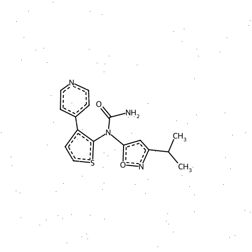 CC(C)c1cc(N(C(N)=O)c2sccc2-c2ccncc2)on1